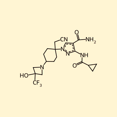 N#CCC1(n2cc(C(N)=O)c(NC(=O)C3CC3)n2)CCC(N2CC(O)(C(F)(F)F)C2)CC1